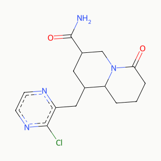 NC(=O)C1CC(Cc2nccnc2Cl)C2CCCC(=O)N2C1